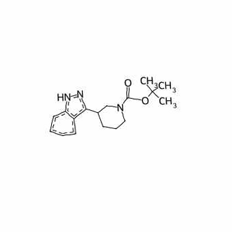 CC(C)(C)OC(=O)N1CCCC(c2n[nH]c3ccccc23)C1